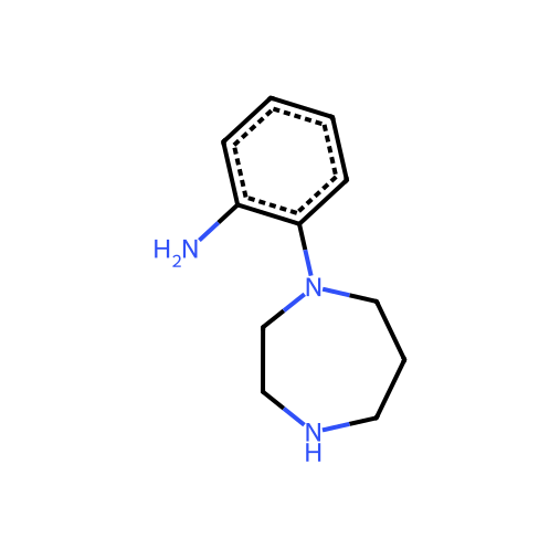 Nc1ccccc1N1CCCNCC1